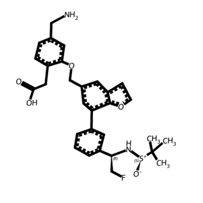 CC(C)(C)[S@@+]([O-])N[C@@H](CF)c1cccc(-c2cc(COc3cc(CN)ccc3CC(=O)O)cc3ccoc23)c1